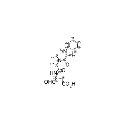 Cn1c(C(=O)N2CCCC2C(=O)N[C@H](C=O)CC(=O)O)cc2ccccc21